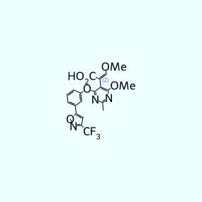 CO/C=C(\C(=O)O)c1c(OC)nc(C)nc1Oc1cccc(-c2cc(C(F)(F)F)no2)c1